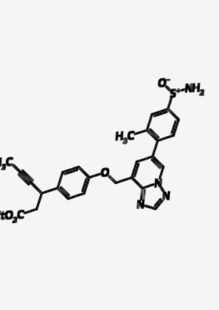 CC#CC(CC(=O)OCC)c1ccc(OCc2cc(-c3ccc([S+](N)[O-])cc3C)cn3ncnc23)cc1